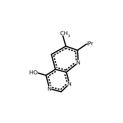 Cc1cc2c(O)ncnc2nc1C(C)C